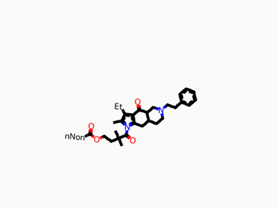 CCCCCCCCCC(=O)OCCC(C)(C)C(=O)n1c(C)c(CC)c2c1CC1CCN(CCc3ccccc3)CC1C2=O